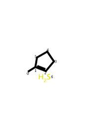 CC1=CCCC1.S